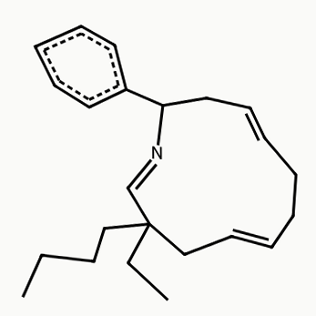 CCCCC1(CC)/C=N/C(c2ccccc2)C/C=C/CC/C=C/C1